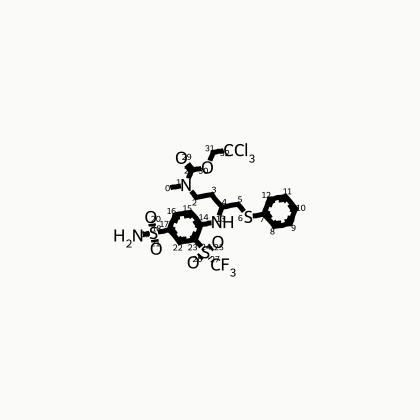 CN(CCC(CSc1ccccc1)Nc1ccc(S(N)(=O)=O)cc1S(=O)(=O)C(F)(F)F)C(=O)OCC(Cl)(Cl)Cl